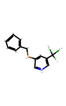 FC(F)(F)c1cncc(SCc2ccccc2)c1